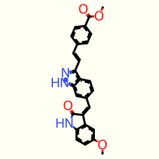 COC(=O)c1ccc(/C=C/c2n[nH]c3cc(C=C4C(=O)Nc5ccc(OC)cc54)ccc23)cc1